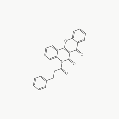 O=C(CCc1ccccc1)n1c(=O)c2c(=O)c3ccccc3oc2c2ccccc21